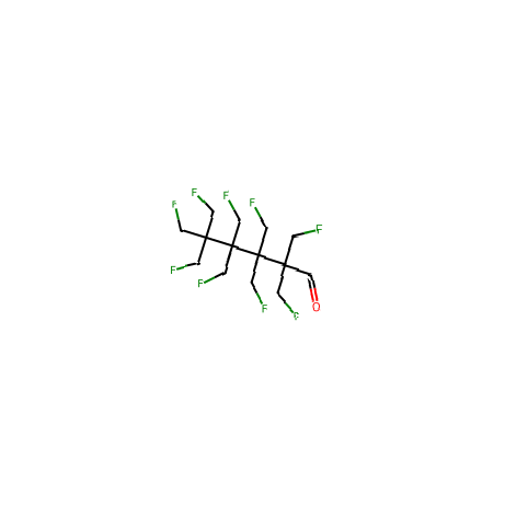 O=CC(CF)(CF)C(CF)(CF)C(CF)(CF)C(CF)(CF)CF